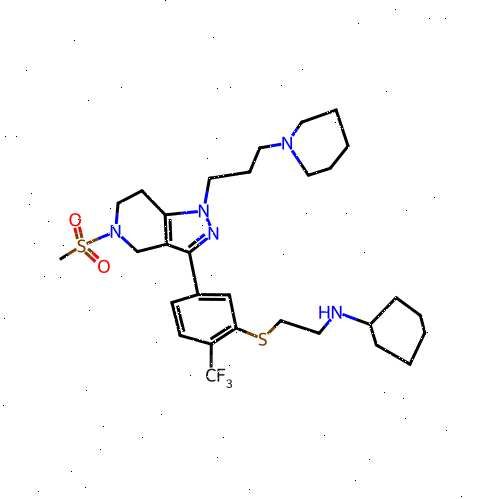 CS(=O)(=O)N1CCc2c(c(-c3ccc(C(F)(F)F)c(SCCNC4CCCCC4)c3)nn2CCCN2CCCCC2)C1